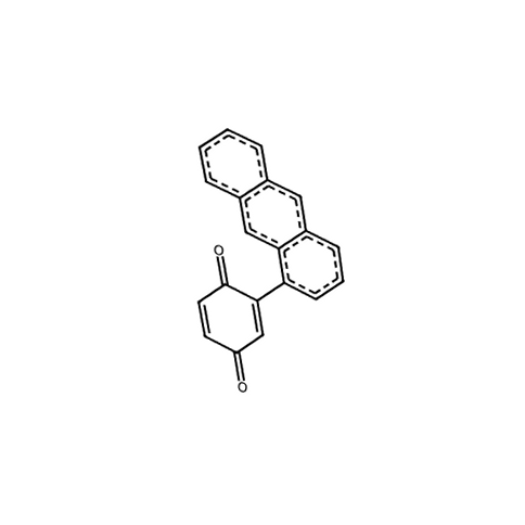 O=C1C=CC(=O)C(c2cccc3cc4ccccc4cc23)=C1